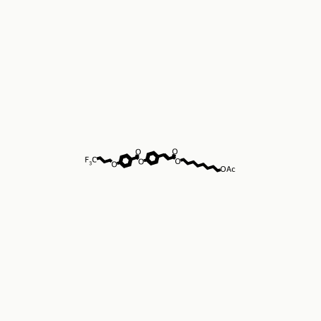 CC(=O)OCCCCCCCCOC(=O)/C=C/c1ccc(OC(=O)c2ccc(OCCCC(F)(F)F)cc2)cc1